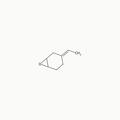 CC=C1CCC2OC2C1